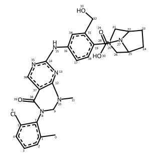 Cc1cccc(Cl)c1N1CN(C)c2nc(Nc3ccc(N4CC5CCC(C4)N5C(=O)O)c(CO)c3)ncc2C1=O